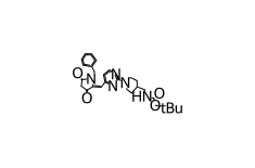 CC(C)(C)OC(=O)NCC1CCN(c2nccc(/C=C3/C(=O)CC(=O)N3Cc3ccccc3)n2)CC1